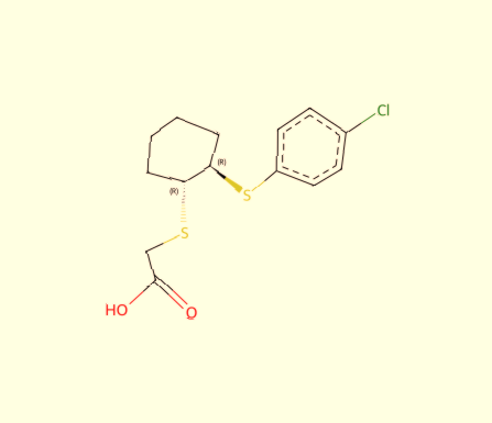 O=C(O)CS[C@@H]1CCCC[C@H]1Sc1ccc(Cl)cc1